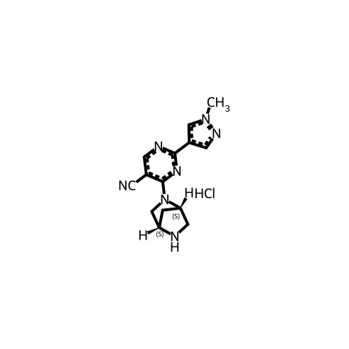 Cl.Cn1cc(-c2ncc(C#N)c(N3C[C@@H]4C[C@H]3CN4)n2)cn1